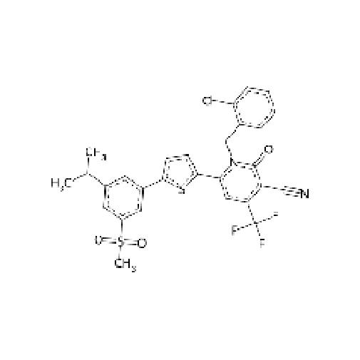 CC(C)c1cc(-c2ccc(-c3cc(C(F)(F)F)c(C#N)c(=O)n3Cc3ccccc3Cl)s2)cc(S(C)(=O)=O)c1